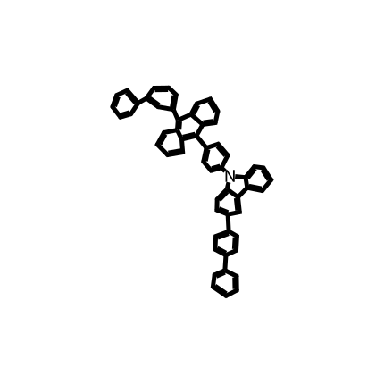 c1ccc(-c2ccc(-c3ccc4c(c3)c3ccccc3n4-c3ccc(-c4c5ccccc5c(-c5cccc(-c6ccccc6)c5)c5ccccc45)cc3)cc2)cc1